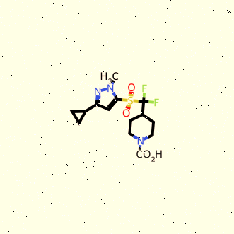 Cn1nc(C2CC2)cc1S(=O)(=O)C(F)(F)C1CCN(C(=O)O)CC1